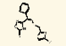 O=c1[nH]c(C(=NOCc2nc(Br)cs2)c2ccccc2)no1